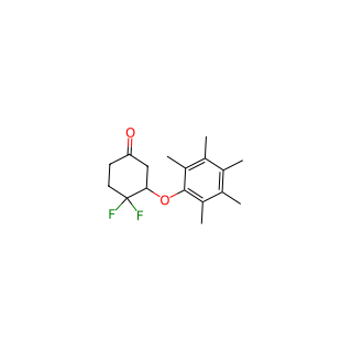 Cc1c(C)c(C)c(OC2CC(=O)CCC2(F)F)c(C)c1C